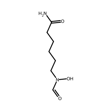 NC(=O)CCCCCN(O)C=O